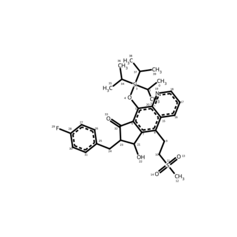 CC(C)[Si](Oc1c2c(c(CCS(C)(=O)=O)c3cccnc13)C(O)C(Cc1ccc(F)cc1)C2=O)(C(C)C)C(C)C